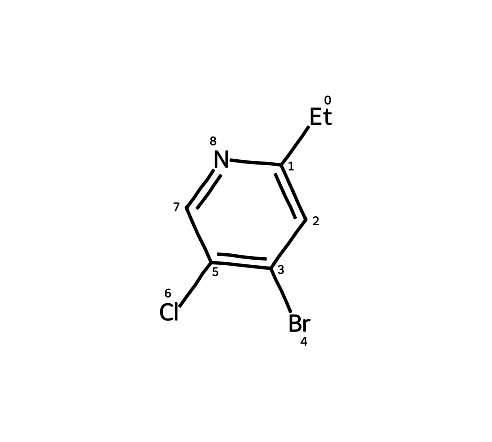 CCc1cc(Br)c(Cl)cn1